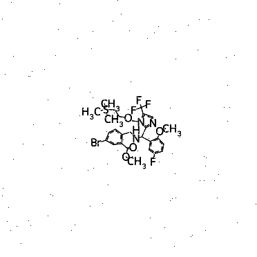 COC(=O)c1cc(Br)ccc1CNC(c1cc(F)ccc1OC)c1ncc(C(F)(F)F)n1COCCS(C)(C)C